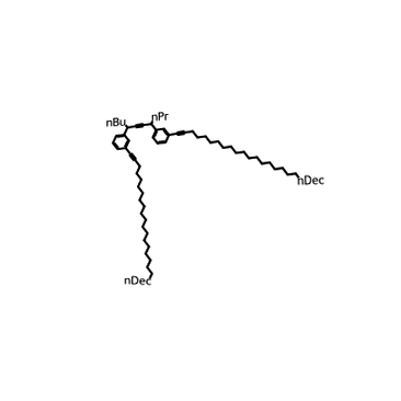 CC[CH]CC(C#CC(CCC)c1cccc(C#CCCCCCCCCCCCCCCCCCCCCCCCCCCC)c1)c1cccc(C#CCCCCCCCCCCCCCCCCCCCCCCCCCCC)c1